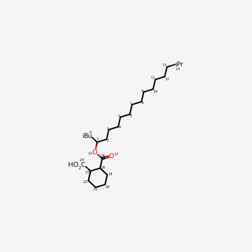 CCC(C)C(CCCCCCCCCCCCC(C)C)OC(=O)C1CCCCC1C(=O)O